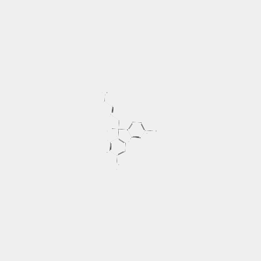 CC(CN=CCO)(c1ccc(O)cc1)c1ccc(O)cc1